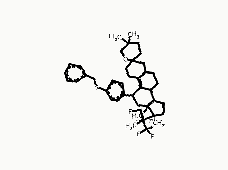 CC1(C)CCC2(CCC3=C4C(c5ccc(SCc6ccccc6)cc5)CC5(C)C(CC[C@@]5(C)C(C)(CF)C(F)(F)F)C4CCC3C2)OC1